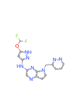 FC(F)Oc1cc(Nc2cnc3ccn(Cc4cccnn4)c3n2)n[nH]1